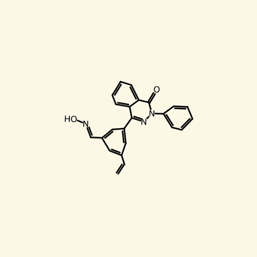 C=Cc1cc(C=NO)cc(-c2nn(-c3ccccc3)c(=O)c3ccccc23)c1